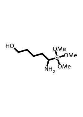 CO[Si](OC)(OC)C(N)CCCCO